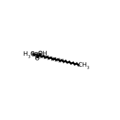 CCCCCCCCCCCCCCC=CCCCCCCC(O)C(=O)OCC